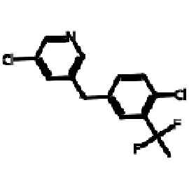 CC(F)(F)c1cc([CH]c2cncc(Cl)c2)ccc1Cl